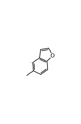 Cc1[c]c2ccoc2cc1